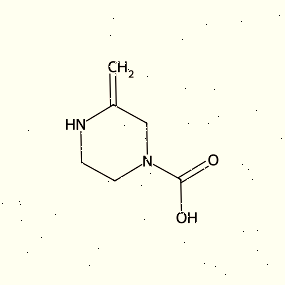 C=C1CN(C(=O)O)CCN1